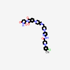 N#Cc1ccc(N2CCC(C(=O)Nc3ccc(N4CCC(CN5CC6(CCN(c7ccc8c(c7)C(=O)N(C7CCC(=O)NC7=O)C8=O)CC6)C5)CC4)cn3)CC2)cc1Cl